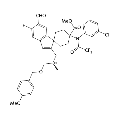 COC(=O)C1(N(C(=O)C(F)(F)F)c2cccc(Cl)c2)CCC2(CC1)C(C[C@@H](C)COCc1ccc(OC)cc1)=Cc1cc(F)c(C=O)cc12